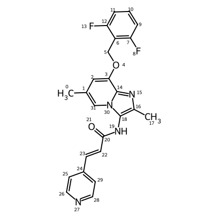 Cc1cc(OCc2c(F)cccc2F)c2nc(C)c(NC(=O)/C=C/c3ccncc3)n2c1